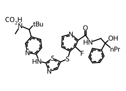 CCCC(O)(CNC(=O)c1nccc(Sc2cnc(Nc3ccc(C(N(C)C(=O)O)C(C)(C)C)cn3)s2)c1F)c1ccccc1